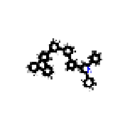 C1=CC(c2cc(-c3cccc(-c4cccc(-c5cccc(-c6ccc7c8ccccc8c8ccccc8c7c6)c5)c4)c3)cc(-c3ccccc3)n2)=CCC1